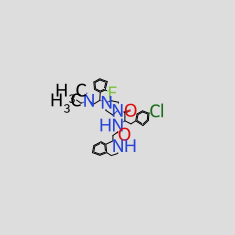 CCN(CC)CC(c1ccccc1F)N1CCN(C(=O)C(Cc2ccc(Cl)cc2)NC(=O)CC2NCCc3ccccc32)CC1